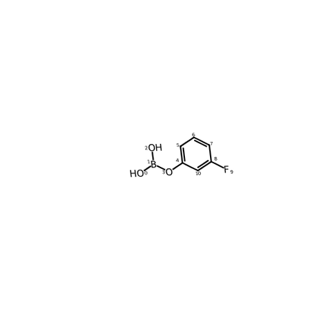 OB(O)Oc1cccc(F)c1